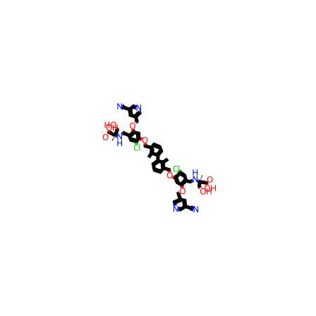 Cc1c(COc2cc(OCc3cncc(C#N)c3)c(CN[C@](C)(CO)C(=O)O)cc2Cl)cccc1-c1cccc(COc2cc(OCc3cncc(C#N)c3)c(CN[C@](C)(CO)C(=O)O)cc2Cl)c1C